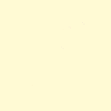 Cc1cc(C(=O)O)ccc1/C(=C1\CCCCn2cc(C(=O)N3CCN(C)CC3)c3cccc1c32)C1CCCCC1